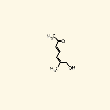 CC(=O)C=CC=C(C)CO